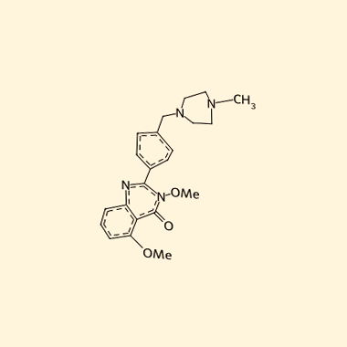 COc1cccc2nc(-c3ccc(CN4CCN(C)CC4)cc3)n(OC)c(=O)c12